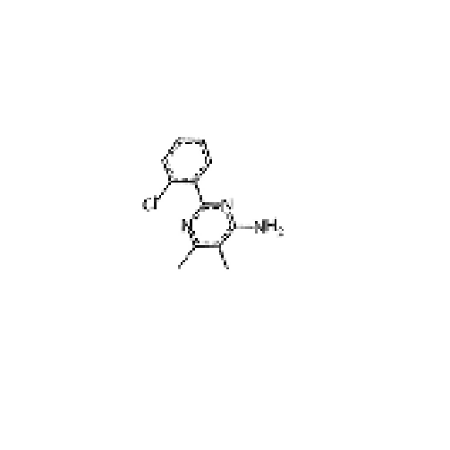 Cc1nc(-c2ccccc2Cl)nc(N)c1C